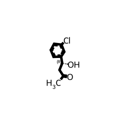 CC(=O)C[C@@H](O)c1cccc(Cl)c1